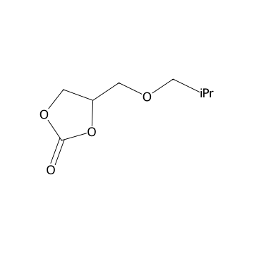 CC(C)COCC1COC(=O)O1